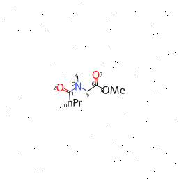 CCCC(=O)N(C)CC(=O)OC